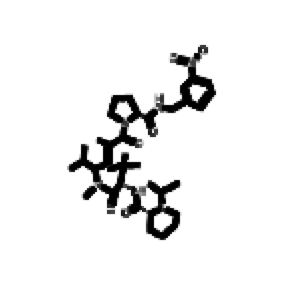 C/C(=C\C(C(C)C)N(C)C(=O)[C@@H](NC(=O)[C@H]1CCCCN1C(C)C)C(C)(C)C)C(=O)N1CCC[C@H]1C(=O)NCc1cccc([N+](=O)[O-])c1